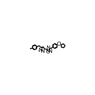 Cc1ccc(Cc2cc(-c3nc(-c4ccc(OC5CCCC5)cc4)no3)nn2C)cc1